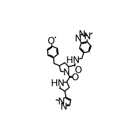 COc1ccc(CC2CC(C(=O)NCc3ccc4c(c3)nnn4C)N(C(=O)C3CC(c4ccnn4C)CN3)C2)cc1